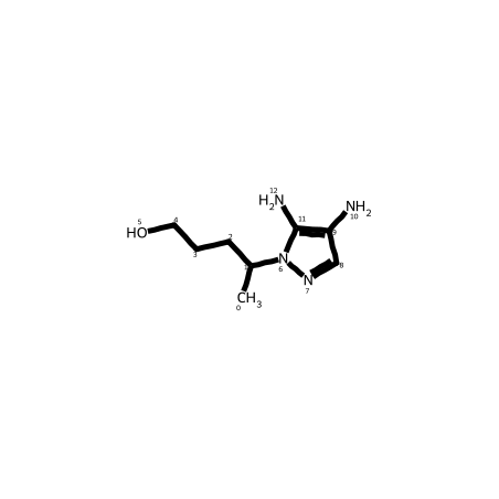 CC(CCCO)n1ncc(N)c1N